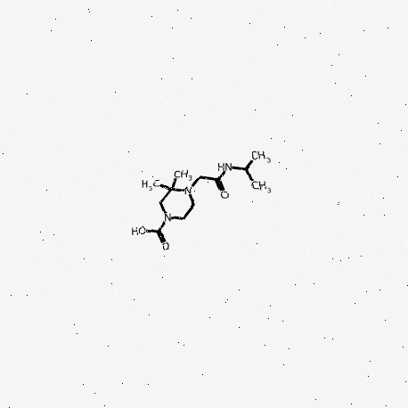 CC(C)NC(=O)CN1CCN(C(=O)O)CC1(C)C